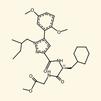 CCC(C)Cn1nc(C(=O)N[C@@H](CC2CCCCC2)C(=O)NCC(=O)OC)cc1-c1cc(OC)ccc1OC